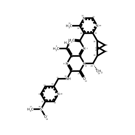 C=C(/N=C1\C(=C(C)C)N=C(NCc2ccc([S+](C)[O-])cn2)C(=O)N1[C@@H](C)C1CC1)c1c(C)ncnc1C1CC1